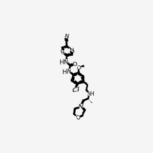 COc1cc(CCN[C@H](C)CN2CCOCC2)c(Cl)cc1NC(=O)Nc1cnc(C#N)cn1